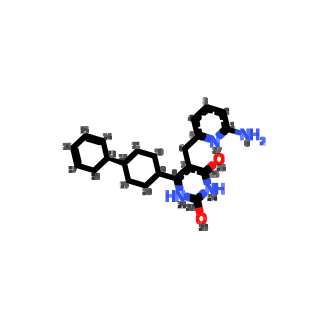 Nc1cccc(Cc2c(C3CCC([C@@H]4C=CC=CC4)CC3)[nH]c(=O)[nH]c2=O)n1